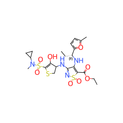 CCOC(=O)C1=C(N[C@H](CC)c2ccc(C)o2)C(NC2CSC(S(=O)(=O)N(C)C3CC3)=C2O)=NS1(=O)=O